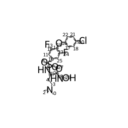 CN(C)CC[C@@H](NS(=O)(=O)c1cc(F)c(Oc2ccc(Cl)cc2)c(F)c1)C(=O)NO